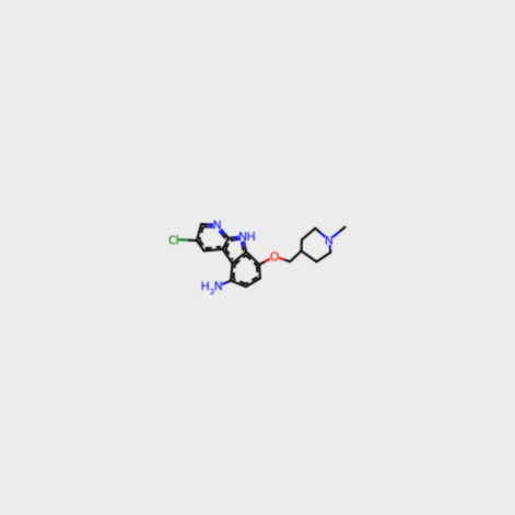 CN1CCC(COc2ccc(N)c3c2[nH]c2ncc(Cl)cc23)CC1